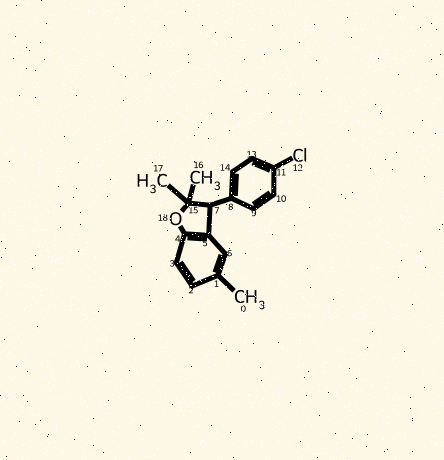 Cc1ccc2c(c1)C(c1ccc(Cl)cc1)C(C)(C)O2